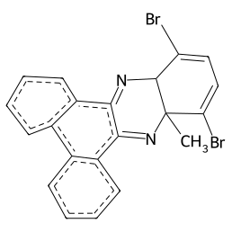 CC12N=c3c(c4ccccc4c4ccccc34)=NC1C(Br)=CC=C2Br